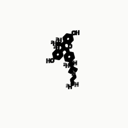 [2H]C([2H])CCN1CC(C([2H])([2H])c2ccc(C3Oc4cc(O)ccc4C(C([2H])([2H])[2H])=C3c3ccc(O)cc3)cc2)C1